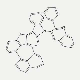 c1ccc(-c2nc3ccccc3nc2-n2c3ccccc3c3c4sc5cccc6c5c4c(cc32)-c2cccc3cccc-6c23)cc1